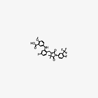 COc1ccc(Nc2cc(F)ccc2CN2C(=O)N(c3ccc(F)c(C(F)(F)F)c3)C(=O)C2(C)C)cc1C(=O)O